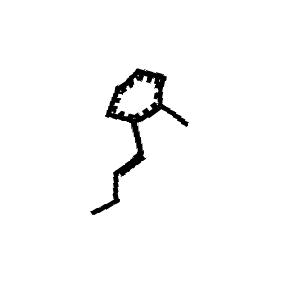 CCC=Cc1ccccc1C